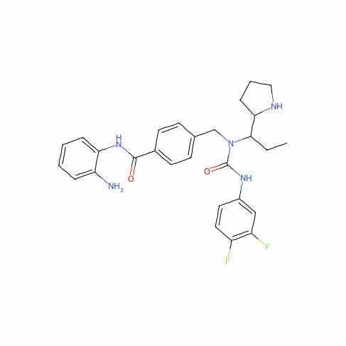 CCC(C1CCCN1)N(Cc1ccc(C(=O)Nc2ccccc2N)cc1)C(=O)Nc1ccc(F)c(F)c1